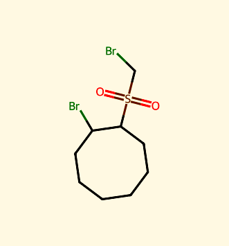 O=S(=O)(CBr)C1CCCCCCC1Br